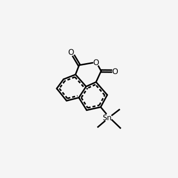 [CH3][Sn]([CH3])([CH3])[c]1cc2c3c(cccc3c1)C(=O)OC2=O